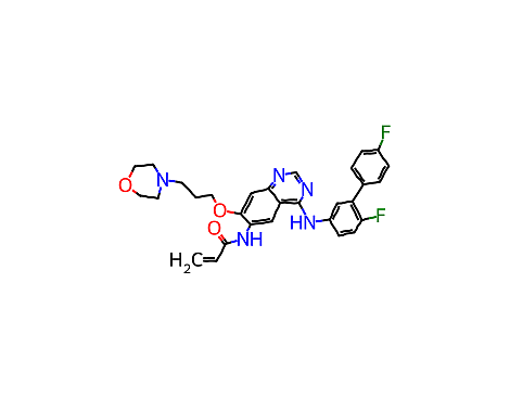 C=CC(=O)Nc1cc2c(Nc3ccc(F)c(-c4ccc(F)cc4)c3)ncnc2cc1OCCCN1CCOCC1